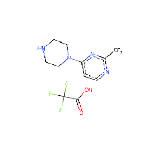 FC(F)(F)c1nccc(N2CCNCC2)n1.O=C(O)C(F)(F)F